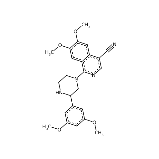 COc1cc(OC)cc(C2CN(c3ncc(C#N)c4cc(OC)c(OC)cc34)CCN2)c1